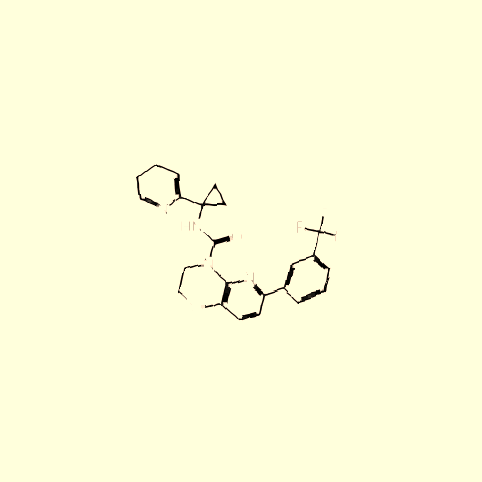 O=C(NC1(C2=CCCC=N2)CC1)N1CCOc2ccc(-c3cccc(C(F)(F)F)c3)nc21